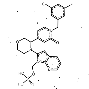 O=c1cc(C2COCCN2c2cc3cccnc3n2COP(=O)(O)O)ccn1Cc1cc(F)cc(Cl)c1